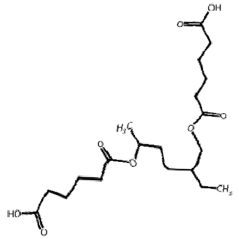 CCC(CCC(C)OC(=O)CCCCC(=O)O)COC(=O)CCCCC(=O)O